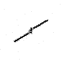 CCCCCCCCCCCCCCCCCOC(=O)C(C)SC(C)C(=O)OCCCCCCCCCCCCCCCCC